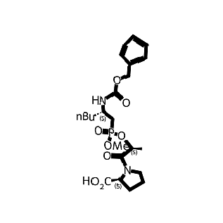 CCCC[C@@H](CP(=O)(OC)O[C@@H](C)C(=O)N1CCC[C@H]1C(=O)O)NC(=O)OCc1ccccc1